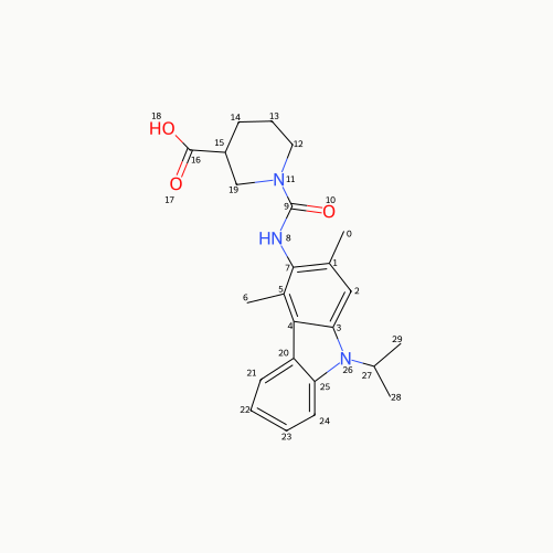 Cc1cc2c(c(C)c1NC(=O)N1CCCC(C(=O)O)C1)c1ccccc1n2C(C)C